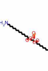 CCCCCCCCC(=O)O[C@@H](COP=O)COC(=O)CCCCCCCCCCCCCCN